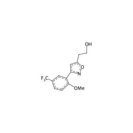 COc1ccc(C(F)(F)F)cc1-c1cc(CCO)on1